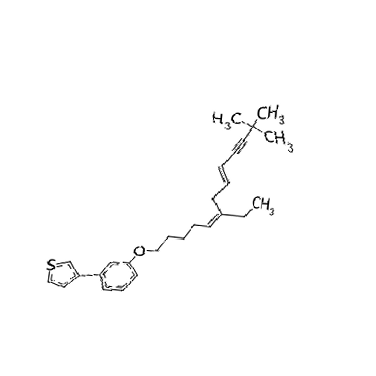 CCC(=CCCCCOc1cccc(-c2ccsc2)c1)CC=CC#CC(C)(C)C